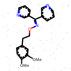 COc1ccc(CCON=C(c2cccnc2)c2cccnc2)cc1OC